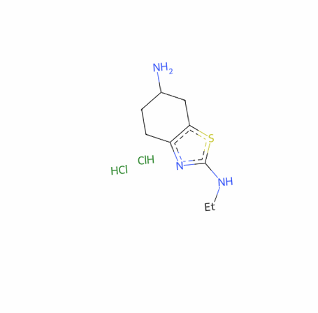 CCNc1nc2c(s1)CC(N)CC2.Cl.Cl